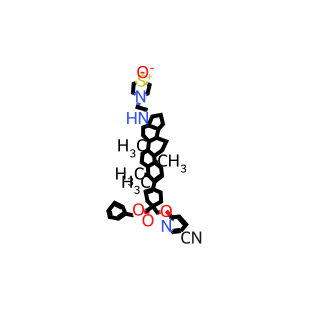 CC1(C)C(C2=CCC(COc3ccc(C#N)cn3)(C(=O)OCc3ccccc3)CC2)=CCC2(C)C1CCC1(C)C3CCC4(NCCN5CC[S+]([O-])CC5)CCCC4C3CCC12